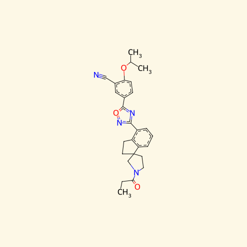 CCC(=O)N1CCC2(CCc3c(-c4noc(-c5ccc(OC(C)C)c(C#N)c5)n4)cccc32)C1